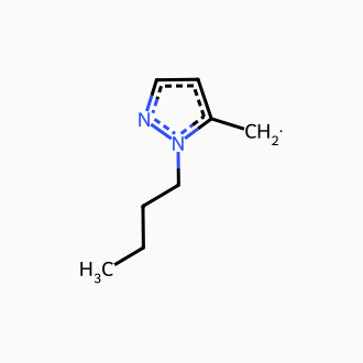 [CH2]c1ccnn1CCCC